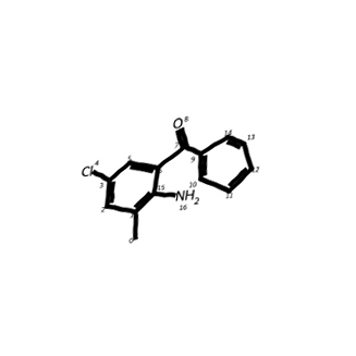 Cc1cc(Cl)cc(C(=O)c2ccccc2)c1N